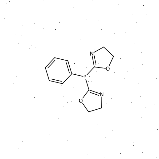 c1ccc(P(C2=NCCO2)C2=NCCO2)cc1